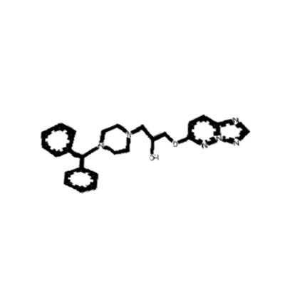 OC(COc1ccc2ncnn2n1)CN1CCN(C(c2ccccc2)c2ccccc2)CC1